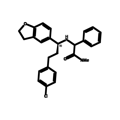 CNC(=O)C(N[C@@H](CCc1ccc(Cl)cc1)c1ccc2c(c1)CCO2)c1ccccc1